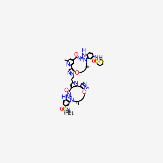 CCN=S(=O)(c1ccc2c(c1)N1C[C@H](C)CCCOc3c(cnn3C)-c3cc(cc(CCn4ncc5c4OCCC[C@@H](C)CN4/C(=N/C(=O)c6cc(C)nc-5c6)Nc5ccc(N[SH]6(=O)CCCCC6)cc54)n3)C(=O)/N=C/1N2)C(C)C